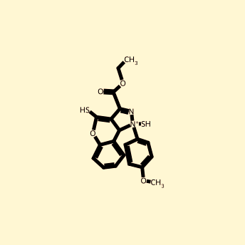 CCOC(=O)C1=N[N+](S)(c2ccc(OC)cc2)C2C1=C(S)Oc1ccccc12